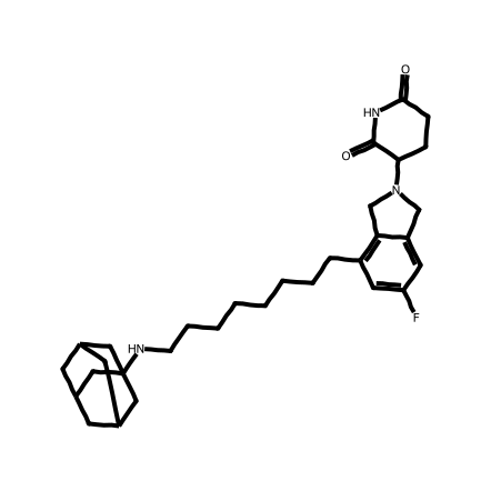 O=C1CCC(N2Cc3cc(F)cc(CCCCCCCCNC45CC6CC(CC(C6)C4)C5)c3C2)C(=O)N1